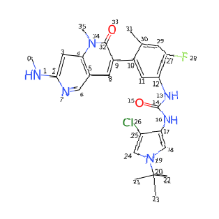 CNc1cc2c(cn1)cc(-c1cc(NC(=O)Nc3cn(C(C)(C)C)cc3Cl)c(F)cc1C)c(=O)n2C